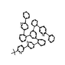 CC(C)(C)c1ccc(-c2ccc(-c3ccccc3-c3cc(-c4ccccc4-c4ccc(-c5ccccc5)nc4)cc(-c4ccccc4-c4ccc(-c5ccccc5)nc4)c3)cn2)cn1